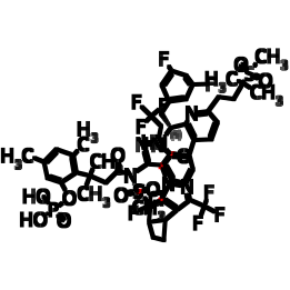 Cc1cc(C)c(C(C)(C)CC(=O)N(c2nn(CC(F)(F)F)c3c(-c4ccc(CCC(C)(C)S(C)(=O)=O)nc4[C@H](Cc4cc(F)cc(F)c4)NC(=O)Cn4nc(C(F)(F)F)c5c4C(F)(F)C4CCC54)ccc(Cl)c23)S(C)(=O)=O)c(OP(=O)(O)O)c1